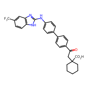 O=C(CC1(C(=O)O)CCCCC1)c1ccc(-c2ccc(Nc3nc4cc(C(F)(F)F)ccc4[nH]3)cc2)cc1